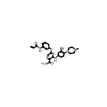 C=CC(=O)Nc1cccc(Oc2cnc(C(N)=O)c(Nc3ccc(N4CCN(C)CC4)c(Br)c3)n2)c1